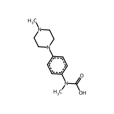 CN1CCN(c2ccc(N(C)C(=O)O)cc2)CC1